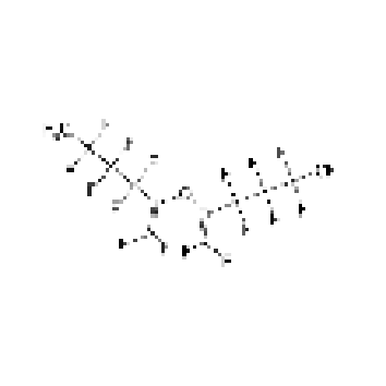 FC(F)=C(OC(=C(F)F)C(F)(F)C(F)(F)C(F)(F)C(F)(F)F)C(F)(F)C(F)(F)C(F)(F)C(F)(F)F